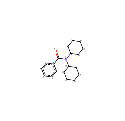 O=C(c1ccccc1)N(C1CCCCC1)C1CCCCC1